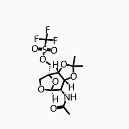 CC(=O)N[C@H]1[C@H]2OC[C@](COS(=O)(=O)C(F)(F)F)(O2)[C@@H]2OC(C)(C)O[C@H]12